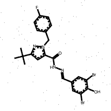 CC(C)(C)c1cc(C(=O)NN=Cc2cc(Br)c(O)c(Br)c2)n(Cc2ccc(F)cc2)n1